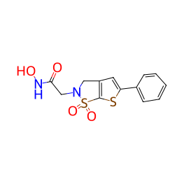 O=C(CN1Cc2cc(-c3ccccc3)sc2S1(=O)=O)NO